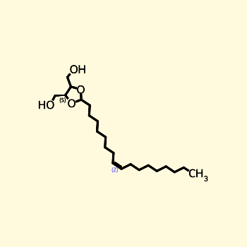 CCCCCCCC/C=C\CCCCCCCC1OC(CO)[C@H](CO)O1